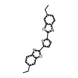 CCc1ccc2nc(-c3ccc(-c4nc5ccc(CC)cc5o4)s3)oc2c1